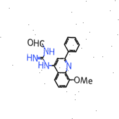 COc1cccc2c(NC(=N)NC=O)cc(-c3ccccc3)nc12